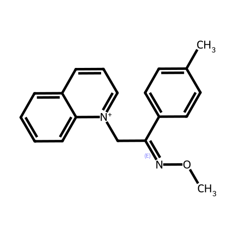 CO/N=C(/C[n+]1cccc2ccccc21)c1ccc(C)cc1